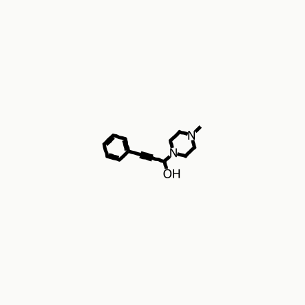 CN1CCN(C(O)C#Cc2ccccc2)CC1